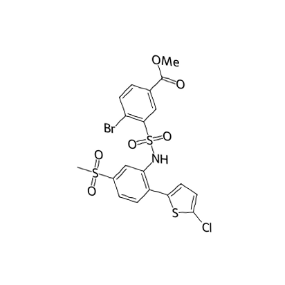 COC(=O)c1ccc(Br)c(S(=O)(=O)Nc2cc(S(C)(=O)=O)ccc2-c2ccc(Cl)s2)c1